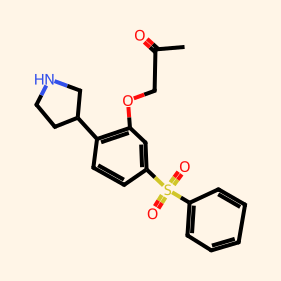 CC(=O)COc1cc(S(=O)(=O)c2ccccc2)ccc1C1CCNC1